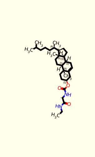 CCNC(=O)[CH]NC(=O)O[C@H]1CC[C@@]2(C)C(=CC[C@H]3[C@@H]4CC[C@H]([C@H](C)CCCC(C)C)[C@@]4(C)CC[C@@H]32)C1